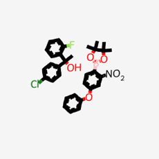 CC(O)(c1ccc(Cl)cc1)c1ccccc1F.CC1(C)OB(c2ccc(Oc3ccccc3)cc2[N+](=O)[O-])OC1(C)C